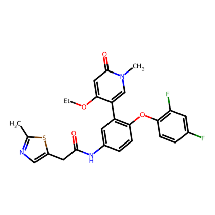 CCOc1cc(=O)n(C)cc1-c1cc(NC(=O)Cc2cnc(C)s2)ccc1Oc1ccc(F)cc1F